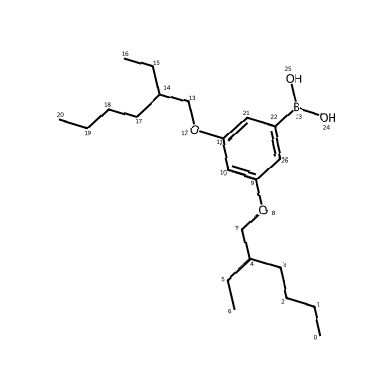 CCCCC(CC)COc1cc(OCC(CC)CCCC)cc(B(O)O)c1